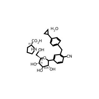 N#Cc1ccc(C2O[C@H](CO)[C@@H](O)[C@H](O)[C@H]2O)cc1Cc1ccc(C2CC2)cc1.O.O=C(O)[C@@H]1CCCN1